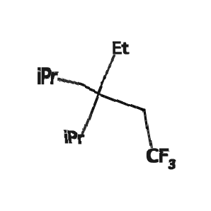 CCC(CC(F)(F)F)(C(C)C)C(C)C